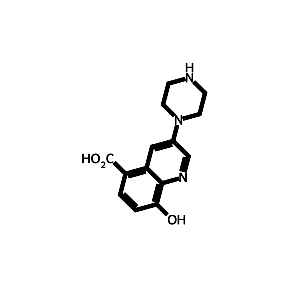 O=C(O)c1ccc(O)c2ncc(N3CCNCC3)cc12